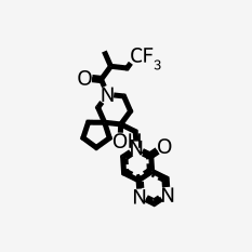 CC(CC(F)(F)F)C(=O)N1CCC(O)(Cn2ccc3ncncc3c2=O)C2(CCCC2)C1